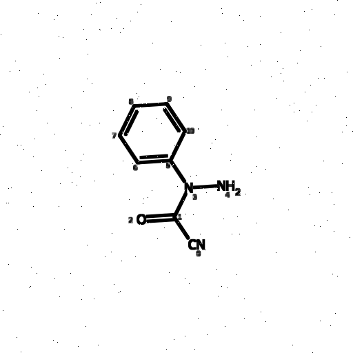 N#CC(=O)N(N)c1ccccc1